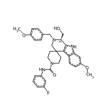 COc1ccc(CN2CC3(CCN(C(=O)Nc4cccc(F)c4)CC3)c3c([nH]c4cc(OC)ccc34)[C@@H]2CO)cc1